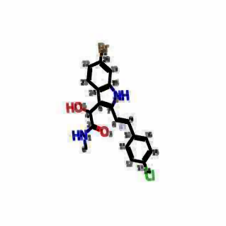 CNC(=O)C(O)c1c(/C=C/c2ccc(Cl)cc2)[nH]c2cc(Br)ccc12